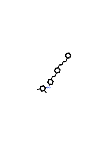 Cc1ccc(Nc2ccc(/C=C/c3ccc(/C=C/C=C/c4ccccc4)cc3)cc2)c(C)c1